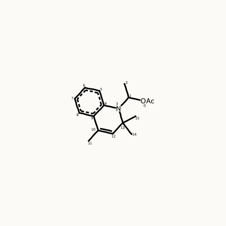 CC(=O)OC(C)N1c2ccccc2C(C)=CC1(C)C